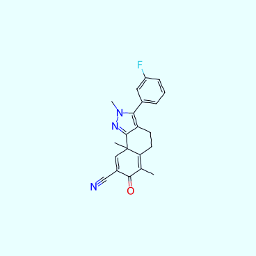 CC1=C2CCc3c(nn(C)c3-c3cccc(F)c3)C2(C)C=C(C#N)C1=O